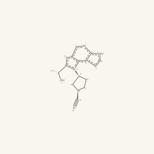 C[C@@H](O)c1nc2cnc3[nH]ccc3c2n1[C@H]1CC[C@@H](C#N)C1